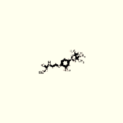 CC(C)(C)OC(=O)NCCOc1ccc(B2OC(C)(C)C(C)(C)O2)cc1C(C)(C)C